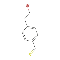 S=Cc1ccc(CCBr)cc1